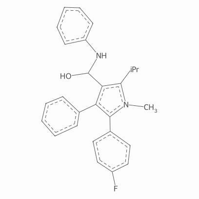 CC(C)c1c(C(O)Nc2ccccc2)c(-c2ccccc2)c(-c2ccc(F)cc2)n1C